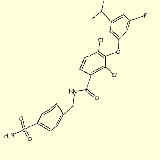 CC(C)c1cc(F)cc(Oc2c(Cl)ccc(C(=O)NCc3ccc(S(N)(=O)=O)cc3)c2Cl)c1